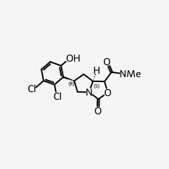 CNC(=O)C1OC(=O)N2C[C@@H](c3c(O)ccc(Cl)c3Cl)C[C@@H]12